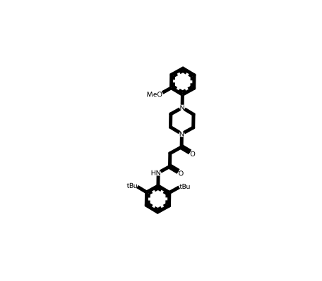 COc1ccccc1N1CCN(C(=O)CC(=O)Nc2c(C(C)(C)C)cccc2C(C)(C)C)CC1